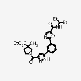 CCOC(=O)C1(C)CCN(C(=O)c2cc(-c3cccc(-c4ncc(C(=O)NC(CC)CC)o4)c3)[nH]n2)C1